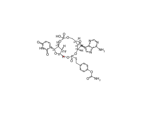 NC(=O)Oc1ccc(CSP2(=O)OC[C@H]3O[C@@H](n4ccc(=O)[nH]c4=O)[C@H](OP(=O)(O)OC[C@H]4O[C@@H](n5cnc6c(N)ncnc65)[C@H](O2)[C@@H]4F)[C@@H]3F)cc1